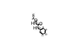 O=C(NOCF)Nc1ccccc1